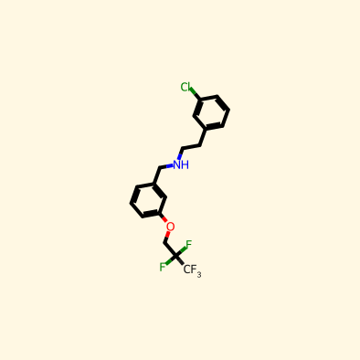 FC(F)(F)C(F)(F)COc1cccc(CNCCc2cccc(Cl)c2)c1